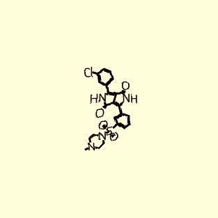 CN1CCN(S(=O)(=O)c2cccc(C3=C4C(=O)NC(c5cccc(Cl)c5)=C4C(=O)N3)c2)CC1